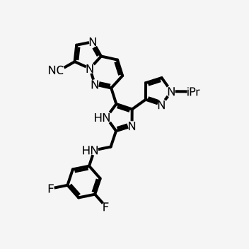 CC(C)n1ccc(-c2nc(CNc3cc(F)cc(F)c3)[nH]c2-c2ccc3ncc(C#N)n3n2)n1